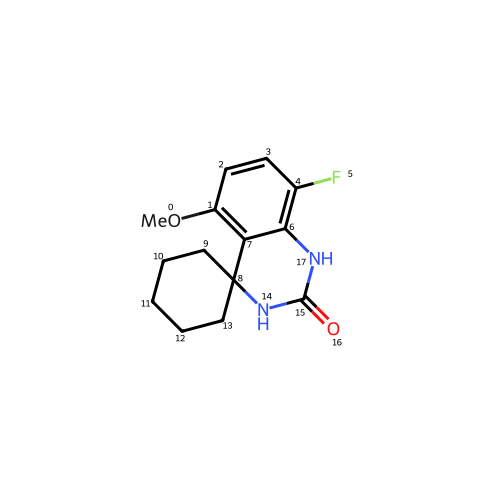 COc1ccc(F)c2c1C1(CCCCC1)NC(=O)N2